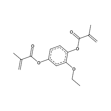 C=C(C)C(=O)Oc1ccc(OC(=O)C(=C)C)c(OCC)c1